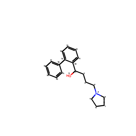 OC(CCCN1CCCC1)c1ccccc1-c1ccccc1